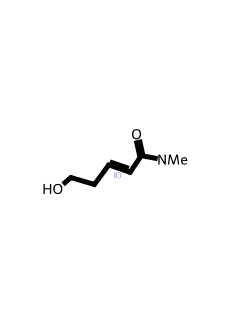 CNC(=O)/C=C/CCO